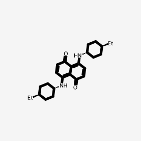 CC[C@H]1CC[C@H](NC2=C3C(=O)C=CC(N[C@H]4CC[C@H](CC)CC4)=C3C(=O)C=C2)CC1